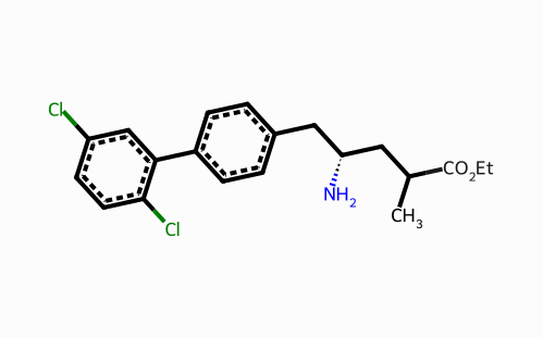 CCOC(=O)C(C)C[C@H](N)Cc1ccc(-c2cc(Cl)ccc2Cl)cc1